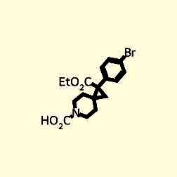 CCOC(=O)C1(c2ccc(Br)cc2)CC12CCN(C(=O)O)CC2